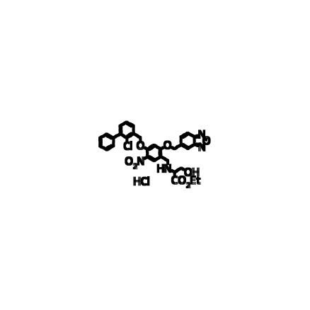 CCOC(=O)C(CO)NCc1cc([N+](=O)[O-])c(OCc2cccc(-c3ccccc3)c2Cl)cc1OCc1ccc2nonc2c1.Cl